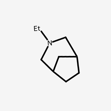 CCN1CC2CCC(C2)C1